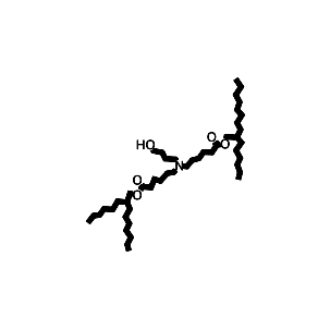 CCCCCCCCC(CCCCCC)COC(=O)CCCCCN(CCCCO)CCCCCC(=O)OCC(CCCCCC)CCCCCCC